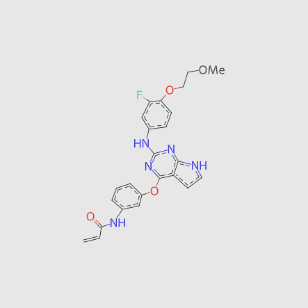 C=CC(=O)Nc1cccc(Oc2nc(Nc3ccc(OCCOC)c(F)c3)nc3[nH]ccc23)c1